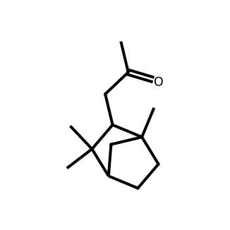 CC(=O)CC1C2(C)CCC(C2)C1(C)C